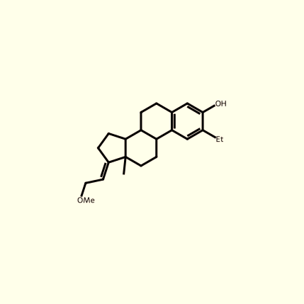 CCc1cc2c(cc1O)CCC1C2CCC2(C)C(=CCOC)CCC12